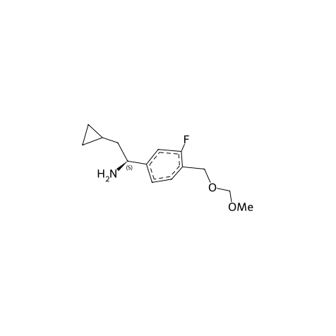 COCOCc1ccc([C@@H](N)CC2CC2)cc1F